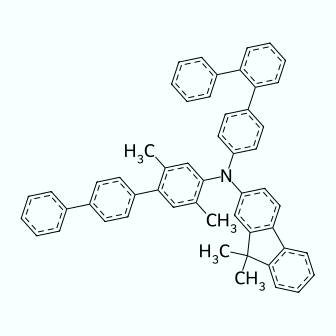 Cc1cc(N(c2ccc(-c3ccccc3-c3ccccc3)cc2)c2ccc3c(c2)C(C)(C)c2ccccc2-3)c(C)cc1-c1ccc(-c2ccccc2)cc1